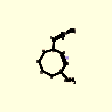 [N-]=[N+]=NC1/C=C\C(N)CCCC1